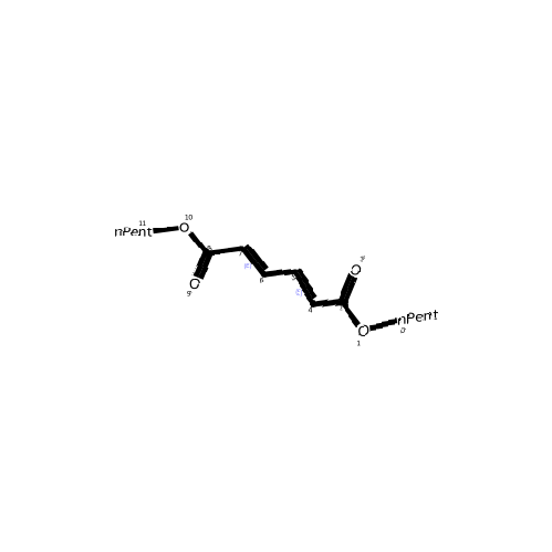 CCCCCOC(=O)/C=C/C=C/C(=O)OCCCCC